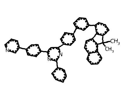 CC1(C)c2cccc(-c3cccc(-c4ccc(-c5cc(-c6ccc(-c7cccnc7)cc6)nc(-c6ccccc6)n5)cc4)c3)c2-c2ccc3ccccc3c21